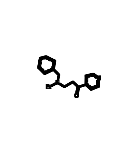 CCN(CCC(=O)c1ccncc1)Cc1ccccc1